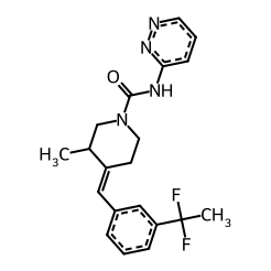 CC1CN(C(=O)Nc2cccnn2)CCC1=Cc1cccc(C(C)(F)F)c1